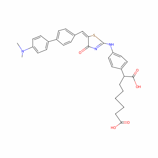 CN(C)c1ccc(-c2ccc(C=C3SC(Nc4ccc(C(CCCCCC(=O)O)C(=O)O)cc4)=NC3=O)cc2)cc1